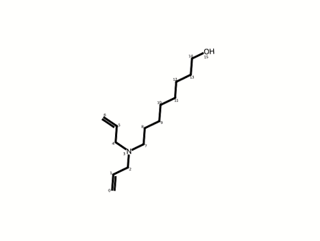 C=CCN(CC=C)CCCCCCCCO